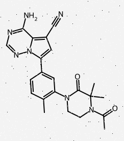 CC(=O)N1CCN(c2cc(-c3cc(C#N)c4c(N)ncnn34)ccc2C)C(=O)C1(C)C